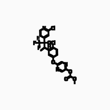 COC(=O)Oc1cnc(Oc2ccc(Cl)c(C(C)C(O)(c3ccnc(Cl)c3)C(F)(F)F)c2)cn1